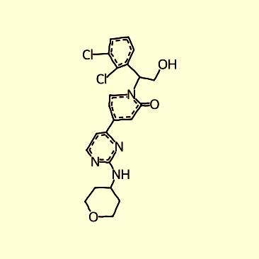 O=c1cc(-c2ccnc(NC3CCOCC3)n2)ccn1C(CO)c1cccc(Cl)c1Cl